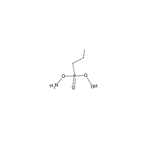 CCCP(=O)(ON)OO